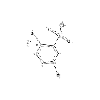 O=S(=O)(O)c1cc(Br)ccc1Br.[Zn]